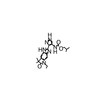 CCN1C(=O)C(C)(C)c2cc3[nH]c(-c4n[nH]cc4NC(=O)OCC(C)C)nc3cc21